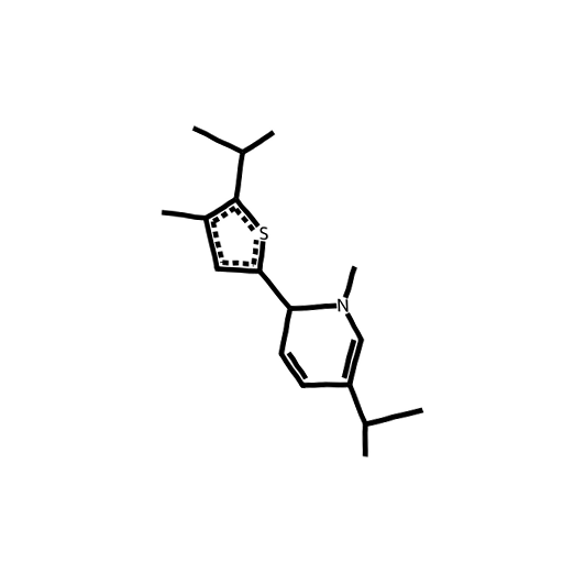 Cc1cc(C2C=CC(C(C)C)=CN2C)sc1C(C)C